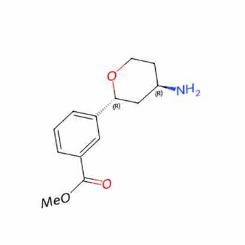 COC(=O)c1cccc([C@H]2C[C@H](N)CCO2)c1